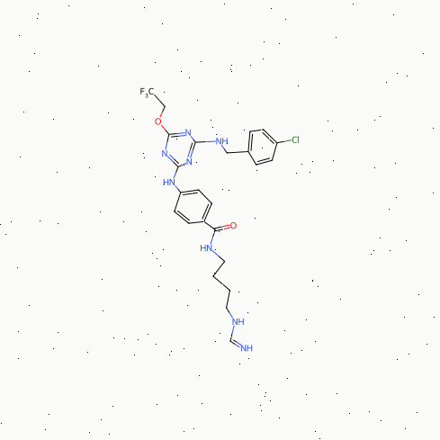 N=CNCCCCNC(=O)c1ccc(Nc2nc(NCc3ccc(Cl)cc3)nc(OCC(F)(F)F)n2)cc1